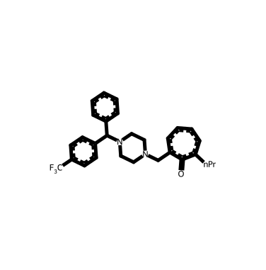 CCCc1ccccc(CN2CCN(C(c3ccccc3)c3ccc(C(F)(F)F)cc3)CC2)c1=O